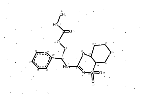 CNC(=O)OC[C@H](NC1=NS(=O)(=O)C2CCCCC2O1)c1ccccc1